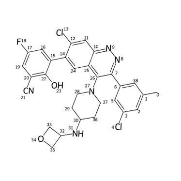 Cc1cc(Cl)cc(-c2nnc3cc(Cl)c(-c4cc(F)cc(C#N)c4O)cc3c2N2CCC(NC3COC3)CC2)c1